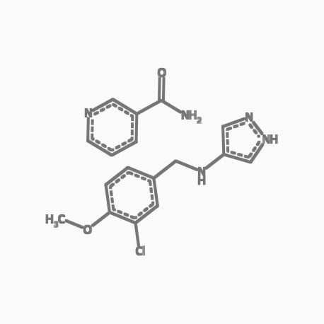 COc1ccc(CNc2cn[nH]c2)cc1Cl.NC(=O)c1cccnc1